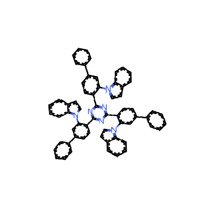 c1ccc(-c2ccc(-c3nc(-c4ccc(-c5ccccc5)cc4-n4ccc5ccccc54)nc(-c4ccc(-c5ccccc5)cc4-n4ccc5ccccc54)n3)c(-n3ccc4ccccc43)c2)cc1